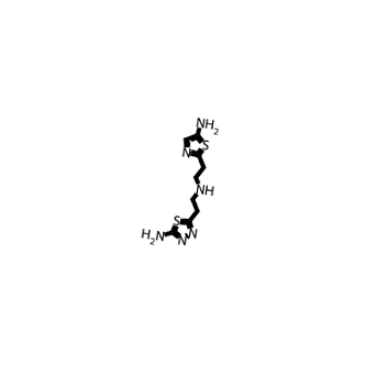 Nc1cnc(CCNCCc2nnc(N)s2)s1